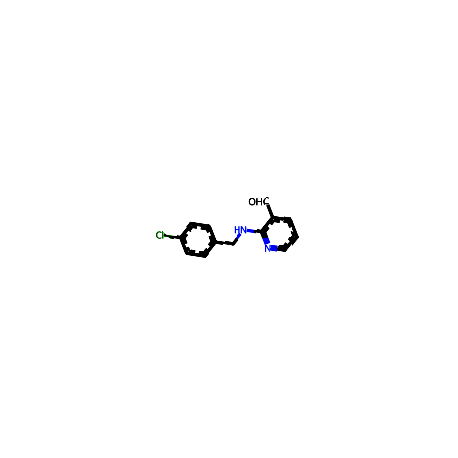 O=Cc1cccnc1NCc1ccc(Cl)cc1